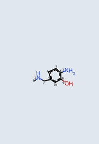 CNCc1ccc(N)c(O)c1